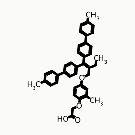 CCC(COc1ccc(OCC(=O)O)c(C)c1)=C(c1ccc(-c2ccc(C)cc2)cc1)c1ccc(-c2ccc(C)cc2)cc1